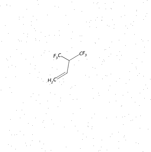 C=CC(C(F)(F)F)C(F)(F)F